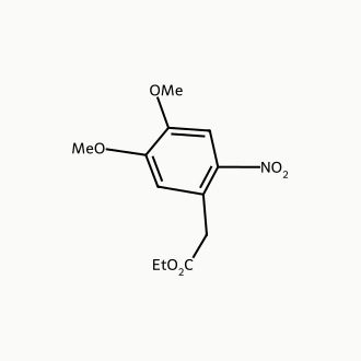 CCOC(=O)Cc1cc(OC)c(OC)cc1[N+](=O)[O-]